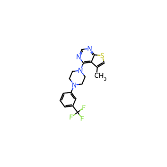 Cc1csc2ncnc(N3CCN(c4cccc(C(F)(F)F)c4)CC3)c12